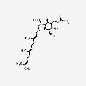 CCN(C(N)=O)C(CCC(N)=O)C(=O)N[C@@H](CSC/C=C(\C)CC/C=C(\C)CCC=C(C)C)C(=O)O